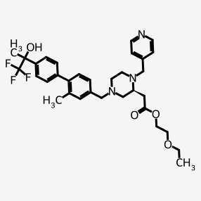 CCOCCOC(=O)C[C@H]1CN(Cc2ccc(-c3ccc(C(C)(O)C(F)(F)F)cc3)c(C)c2)CCN1Cc1ccncc1